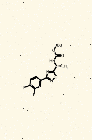 C[C@H](NC(=O)OC(C)(C)C)c1nc(-c2ccc(F)c(F)c2)no1